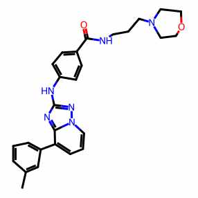 Cc1cccc(-c2cccn3nc(Nc4ccc(C(=O)NCCCN5CCOCC5)cc4)nc23)c1